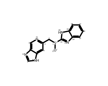 [O-][S+](Cc1cc2[nH]cnc2cn1)c1nc2ccccc2[nH]1